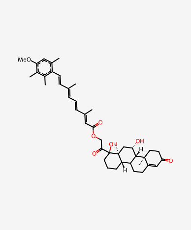 COc1cc(C)c(/C=C/C(C)=C/C=C/C(C)=C/C(=O)OCC(=O)[C@@]2(O)CCC[C@H]3C4CCC5=CC(=O)CC[C@]5(C)[C@H]4[C@@H](O)C[C@@]32C)c(C)c1C